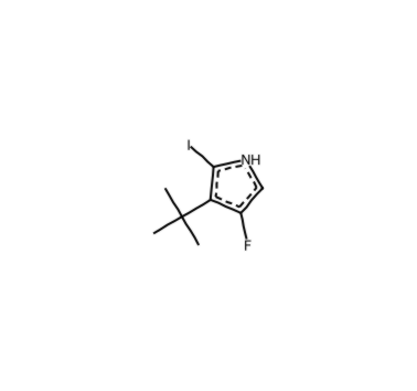 CC(C)(C)c1c(F)c[nH]c1I